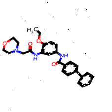 CCOc1ccc(NC(=O)c2ccc(-c3ccccc3)cc2)cc1NC(=O)CN1CCOCC1